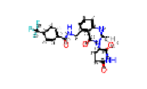 Cc1nc2cccc(CNC(=O)C3=CCC(C(F)(F)F)C=C3)c2c(=O)n1C1CCC(=O)NC1=O